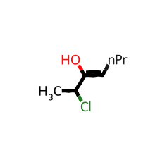 CCCC=C(O)C(C)Cl